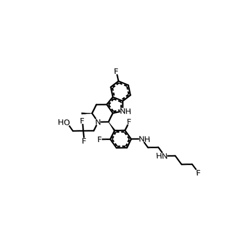 C[C@H]1Cc2c([nH]c3ccc(F)cc23)[C@@H](c2c(F)ccc(NCCNCCCF)c2F)N1CC(F)(F)CO